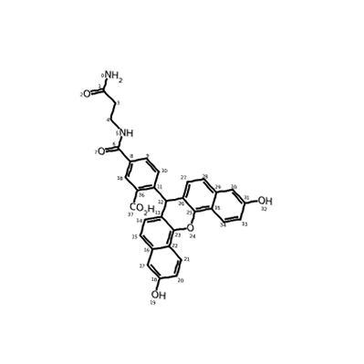 NC(=O)CCNC(=O)c1ccc(C2c3ccc4cc(O)ccc4c3Oc3c2ccc2cc(O)ccc32)c(C(=O)O)c1